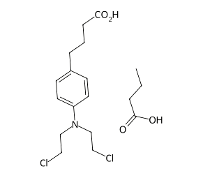 CCCC(=O)O.O=C(O)CCCc1ccc(N(CCCl)CCCl)cc1